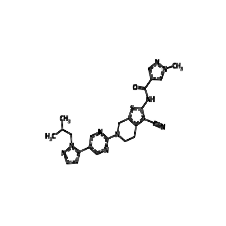 CC(C)Cn1nccc1-c1cnc(N2CCc3c(sc(NC(=O)c4cnn(C)c4)c3C#N)C2)nc1